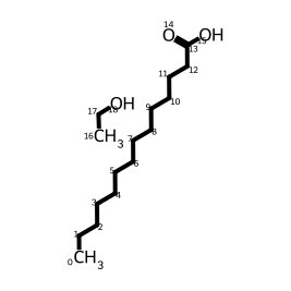 CCCCCCCCCCCCCC(=O)O.CCO